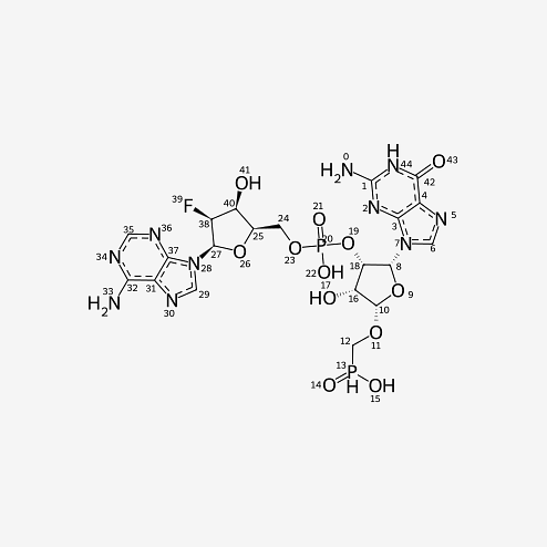 Nc1nc2c(ncn2[C@@H]2O[C@H](OC[PH](=O)O)[C@H](O)[C@@H]2OP(=O)(O)OC[C@H]2O[C@@H](n3cnc4c(N)ncnc43)[C@@H](F)[C@H]2O)c(=O)[nH]1